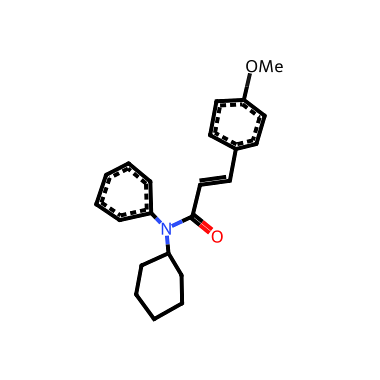 COc1ccc(/C=C/C(=O)N(c2ccccc2)C2CCCCC2)cc1